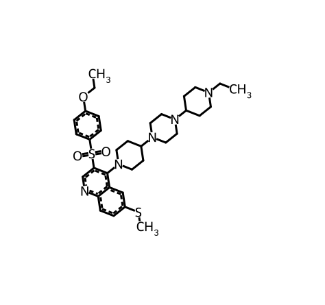 CCOc1ccc(S(=O)(=O)c2cnc3ccc(SC)cc3c2N2CCC(N3CCN(C4CCN(CC)CC4)CC3)CC2)cc1